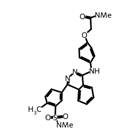 CNC(=O)COc1ccc(Nc2nnc(-c3ccc(C)c(S(=O)(=O)NC)c3)c3ccccc23)cc1